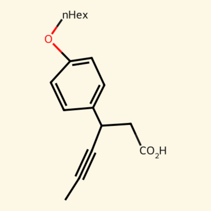 CC#CC(CC(=O)O)c1ccc(OCCCCCC)cc1